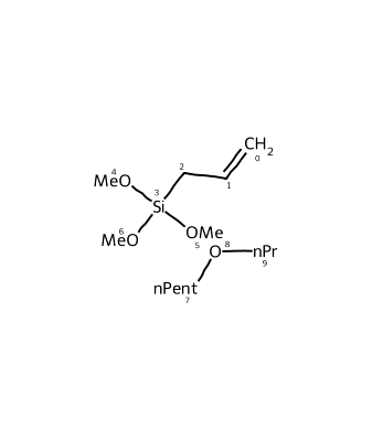 C=CC[Si](OC)(OC)OC.CCCCCOCCC